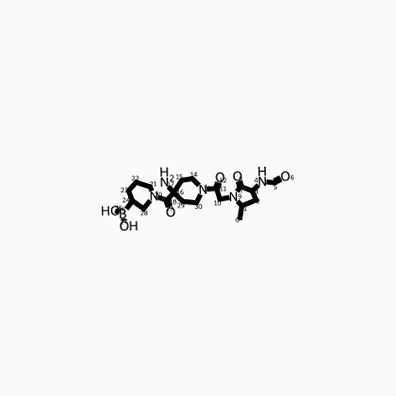 CC1CC(NC=O)C(=O)N1CC(=O)N1CCC(N)(C(=O)N2CCCC(B(O)O)C2)CC1